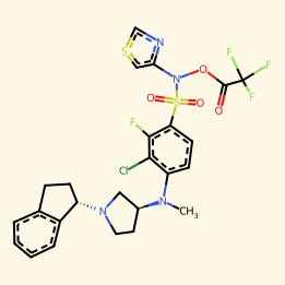 CN(c1ccc(S(=O)(=O)N(OC(=O)C(F)(F)F)c2cscn2)c(F)c1Cl)[C@H]1CCN([C@H]2CCc3ccccc32)C1